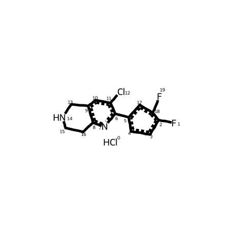 Cl.Fc1ccc(-c2nc3c(cc2Cl)CNCC3)cc1F